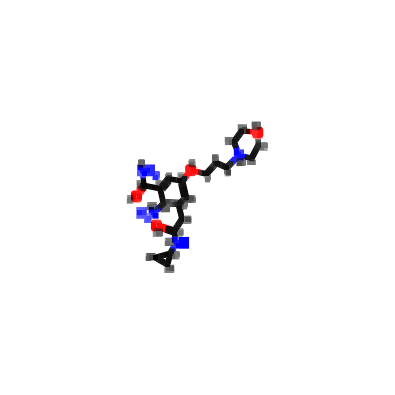 NC(=O)c1cc(OCCCN2CCOCC2)cc(CC(=O)NC2CC2)c1N